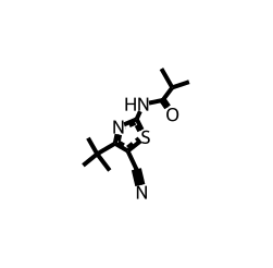 CC(C)C(=O)Nc1nc(C(C)(C)C)c(C#N)s1